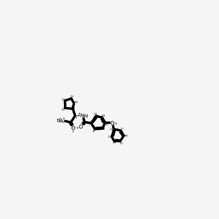 CC(C)(C)C(=O)[C@@H](NC(=O)c1ccc(Oc2ccccc2)cc1)C1CCCC1